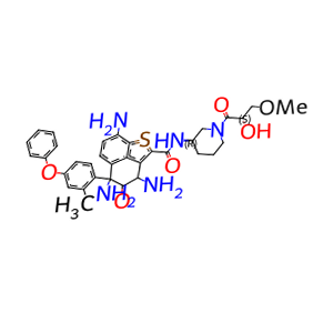 COC[C@H](O)C(=O)N1CCC[C@@H](NC(=O)c2sc3c(N)ccc4c3c2C(N)C(=O)C4(N)c2ccc(Oc3ccccc3)cc2C)C1